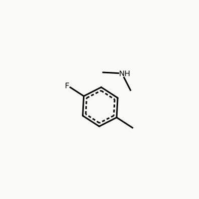 CNC.Cc1ccc(F)cc1